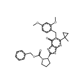 COc1ccc(Cn2c(C3(C)CC3)nc3sc([C@H]4CCCN4C(=O)OCc4ccccc4)nc3c2=O)c(OC)c1